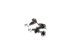 COc1c(OCCCCCC(=O)N2C[C@@H](CCl)c3c2cc(OC(=O)N2CCN(C)CC2)c2ccccc32)cc2c(c1C)C(=O)N1CCC[C@H]1C(O)N2C(=O)Oc1ccc(NC(=O)[C@H](CCCCN)NC(=O)C2(C(=O)NCCCCCN3C(=O)C=CC3=O)CCC2)cc1